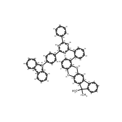 CC1(C)c2ccccc2-c2cc3c(cc21)Oc1cccc(-c2ccccc2-c2nc(-c4ccccc4)nc(-c4ccc(-n5c6ccccc6c6ccccc65)cc4)n2)c1O3